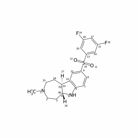 CN1CC[C@H]2Nc3ccc(S(=O)(=O)c4cc(F)cc(F)c4)cc3[C@@H]2CC1